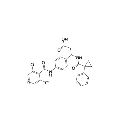 O=C(O)CC(NC(=O)C1(c2ccccc2)CC1)c1ccc(NC(=O)c2c(Cl)cncc2Cl)cc1